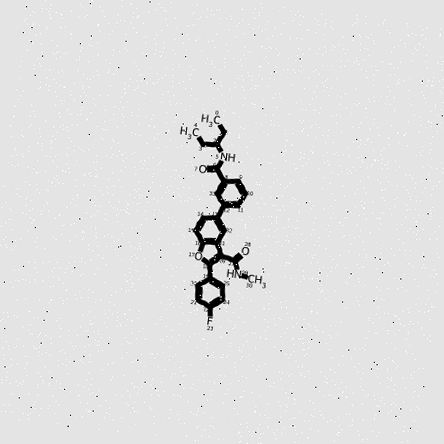 CCC(CC)NC(=O)c1cccc(-c2ccc3oc(-c4ccc(F)cc4)c(C(=O)NC)c3c2)c1